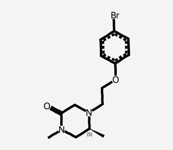 C[C@H]1CN(C)C(=O)CN1CCOc1ccc(Br)cc1